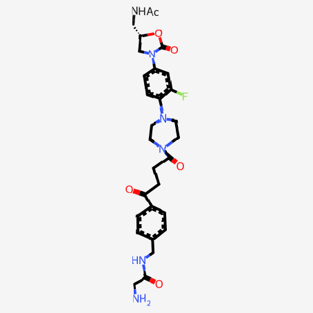 CC(=O)NC[C@H]1CN(c2ccc(N3CCN(C(=O)CCC(=O)c4ccc(CNC(=O)CN)cc4)CC3)c(F)c2)C(=O)O1